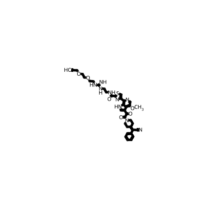 C#CCOCCOCCNC(=N)NCCNC(=O)c1nc(-c2ncc(OC)c3c(C(=O)C(=O)N4CCC(=C(C#N)c5ccccc5)CC4)c[nH]c23)cs1